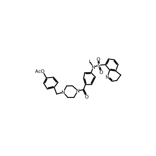 CC(=O)Oc1ccc(CN2CCN(C(=O)c3ccc(N(I)S(=O)(=O)c4cccc5c4N=CCC5)cc3)CC2)cc1